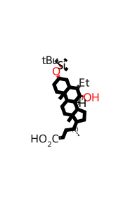 CCC1C2CC(O[Si](C)(C)C(C)(C)C)CCC2(C)C2CCC3(C)C(CCC3[C@H](C)CCC(=O)O)[C@@H]2[C@@H]1O